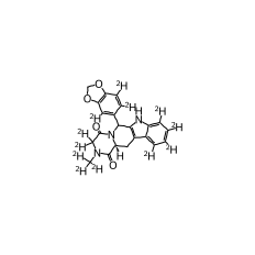 [2H]c1c([2H])c(C2c3[nH]c4c([2H])c([2H])c([2H])c([2H])c4c3C[C@@H]3C(=O)N(C([2H])([2H])[2H])C([2H])([2H])C(=O)N23)c([2H])c2c1OCO2